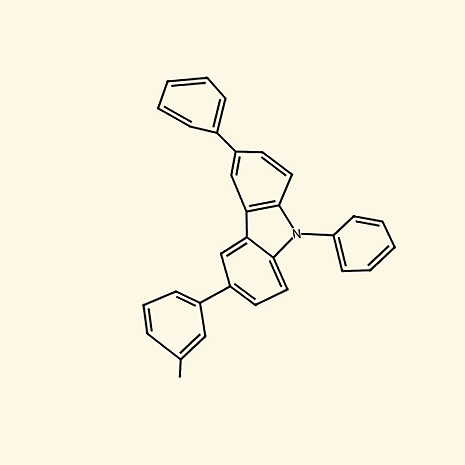 Cc1cccc(-c2ccc3c(c2)c2cc(-c4ccccc4)ccc2n3-c2ccccc2)c1